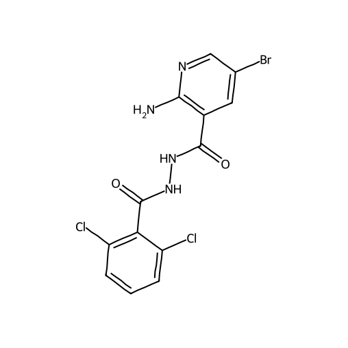 Nc1ncc(Br)cc1C(=O)NNC(=O)c1c(Cl)cccc1Cl